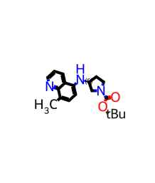 Cc1ccc(N[C@H]2CCN(C(=O)OC(C)(C)C)C2)c2cccnc12